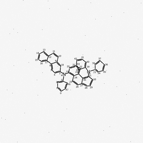 c1ccc(N(c2ccc3c(ccc4ccccc43)c2)c2cccc3c2ccc2cccc(N(c4ccccc4)c4ccccc4)c23)cc1